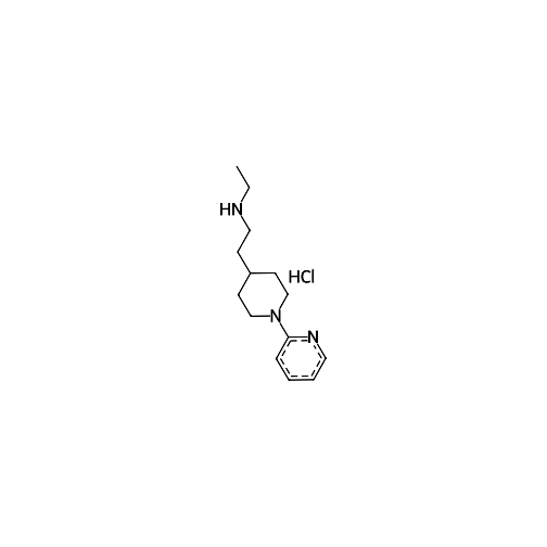 CCNCCC1CCN(c2ccccn2)CC1.Cl